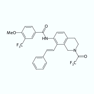 COc1ccc(C(=O)Nc2ccc3c(c2/C=C/c2ccccc2)CN(C(=O)C(F)(F)F)CC3)cc1C(F)(F)F